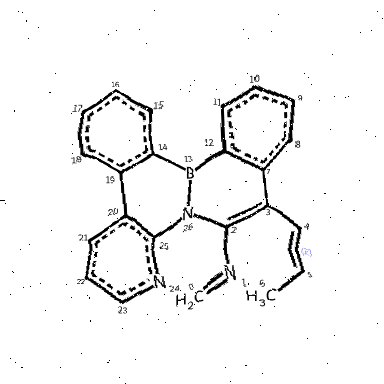 C=NC1=C(/C=C\C)c2ccccc2B2c3ccccc3-c3cccnc3N21